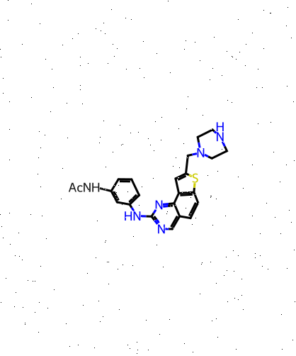 CC(=O)Nc1cccc(Nc2ncc3ccc4sc(CN5CCNCC5)cc4c3n2)c1